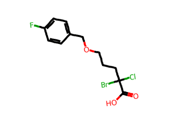 O=C(O)C(Cl)(Br)CCCOCc1ccc(F)cc1